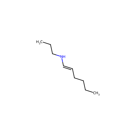 CCCCC=CNCCC